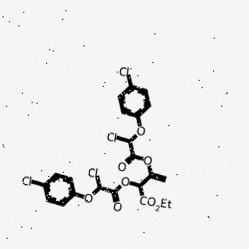 C=C(OC(=O)C(Cl)Oc1ccc(Cl)cc1)C(OC(=O)C(Cl)Oc1ccc(Cl)cc1)C(=O)OCC